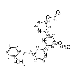 Cc1ccccc1C#Cc1ccnc(-c2cc(OC=O)cc(-c3cc(OC=O)ccn3)n2)c1